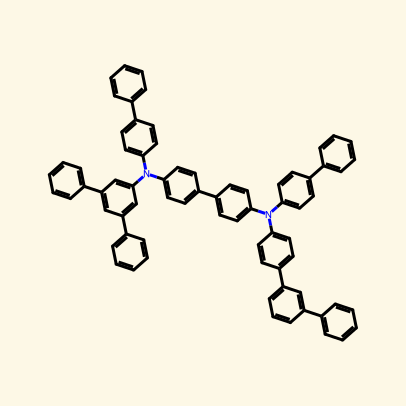 c1ccc(-c2ccc(N(c3ccc(-c4ccc(N(c5ccc(-c6ccccc6)cc5)c5cc(-c6ccccc6)cc(-c6ccccc6)c5)cc4)cc3)c3ccc(-c4cccc(-c5ccccc5)c4)cc3)cc2)cc1